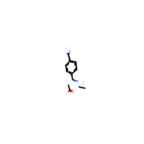 CCN[C@H](CC(=O)O)c1ccc(C#N)cc1